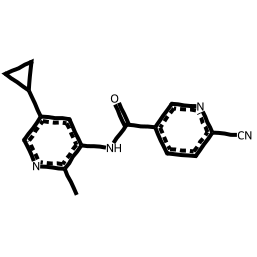 Cc1ncc(C2CC2)cc1NC(=O)c1ccc(C#N)nc1